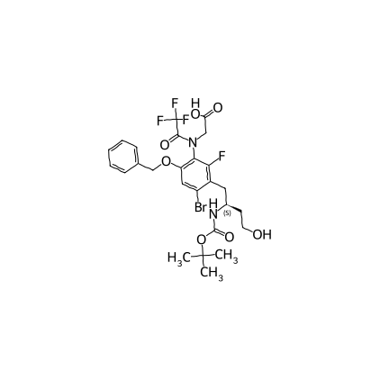 CC(C)(C)OC(=O)N[C@H](CCO)Cc1c(Br)cc(OCc2ccccc2)c(N(CC(=O)O)C(=O)C(F)(F)F)c1F